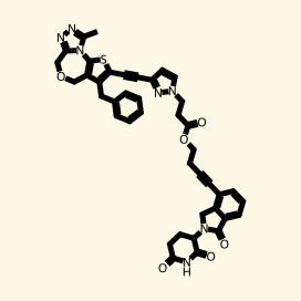 Cc1nnc2n1-c1sc(C#Cc3ccn(CCC(=O)OCCC#Cc4cccc5c4CN(C4CCC(=O)NC4=O)C5=O)n3)c(Cc3ccccc3)c1COC2